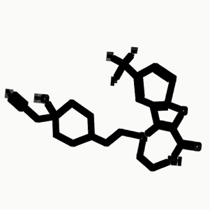 N#CCC1(O)CCC(CCN2CCNC(=O)c3oc4ccc(C(F)(F)F)cc4c32)CC1